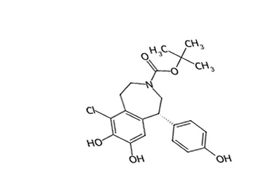 CC(C)(C)OC(=O)N1CCc2c(cc(O)c(O)c2Cl)[C@@H](c2ccc(O)cc2)C1